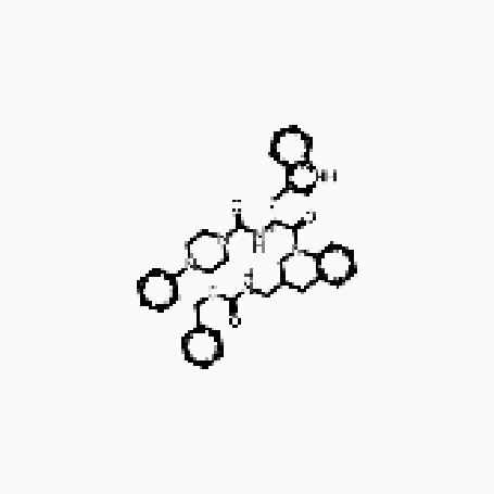 O=C(NCC1Cc2ccccc2N(C(=O)[C@@H](Cc2c[nH]c3ccccc23)NC(=O)N2CCN(c3ccccc3)CC2)C1)OCc1ccccc1